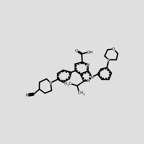 CC(C)c1nn(-c2cccc(N3CCOCC3)c2)c2nc(C(=O)O)cc(-c3ccc(N4CCC(C#N)CC4)cc3)c12